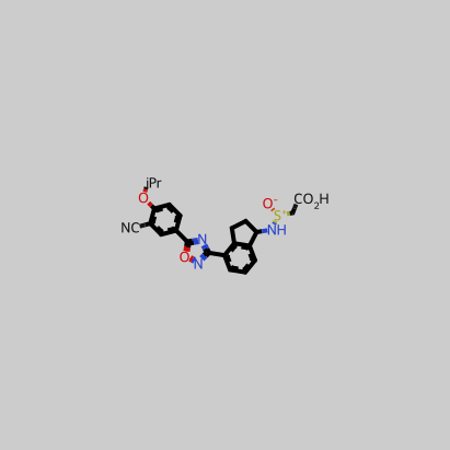 CC(C)Oc1ccc(-c2nc(-c3cccc4c3CCC4N[S+]([O-])CC(=O)O)no2)cc1C#N